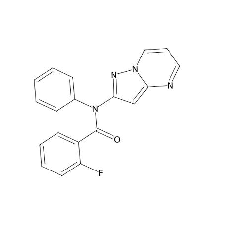 O=C(c1ccccc1F)N(c1ccccc1)c1cc2ncccn2n1